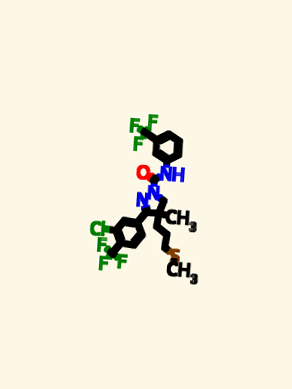 CSCCCC1(C)CN(C(=O)Nc2cccc(C(F)(F)F)c2)N=C1c1ccc(C(F)(F)F)c(Cl)c1